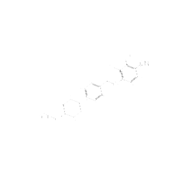 CCCO[C@H]1CC[C@H](c2ccc(COc3ccc(C#N)c(F)c3F)cc2)CC1